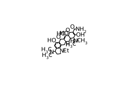 CCN1CCC(N(C)C)c2cc(O)c3c(c21)C[C@@H]1C[C@@H]2[C@@H](N(C)C)C(O)=C(C(N)=O)C(=O)[C@@]2(O)C(O)=C1C3=O